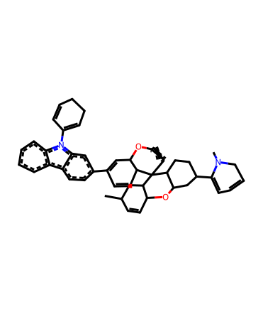 CC1C=CC2OC3CC(C4=CC=CCN4C)CCC3C3(c4ccccc4OC4C=C(c5ccc6c7ccccc7n(C7=CCCC=C7)c6c5)C=CC43)C2C1